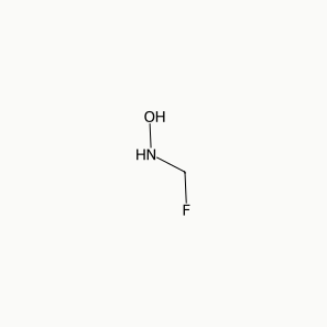 ONCF